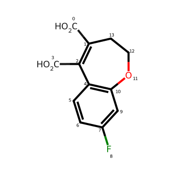 O=C(O)C1=C(C(=O)O)c2ccc(F)cc2OCC1